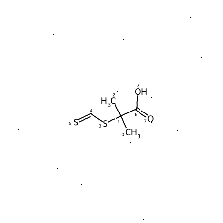 CC(C)(SC=S)C(=O)O